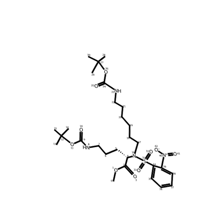 COC(=O)[C@H](CCCNC(=O)OC(C)(C)C)N(CCCCCCNC(=O)OC(C)(C)C)S(=O)(=O)c1ccccc1[N+](=O)[O-]